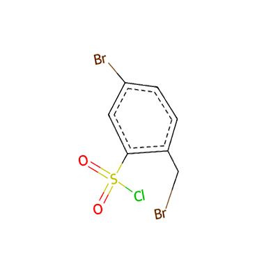 O=S(=O)(Cl)c1cc(Br)ccc1CBr